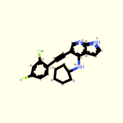 Fc1ccc(C#Cc2cnc3[nH]ccc3c2NC2CCCCC2)c(F)c1